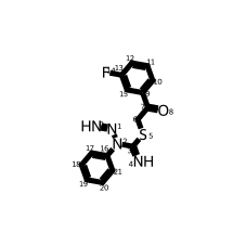 N=NN(C(=N)SCC(=O)c1cccc(F)c1)c1ccccc1